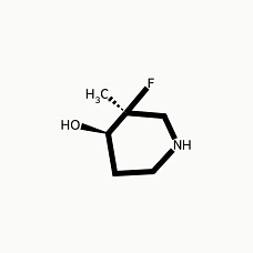 C[C@]1(F)CNCC[C@H]1O